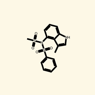 Cc1c[nH]c2cccc(N(S(C)(=O)=O)S(=O)(=O)c3ccccc3)c12